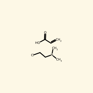 C=CC(=O)O.CN(C)CCCl